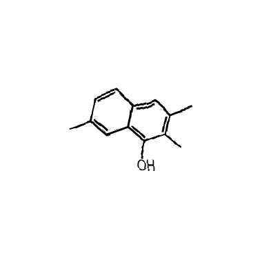 Cc1ccc2cc(C)c(C)c(O)c2c1